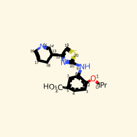 CC(C)Oc1ccc(C(=O)O)cc1Nc1nc(C2C=NC=CC2)cs1